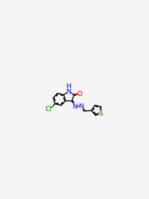 O=C1Nc2ccc(Cl)cc2C1=NN=Cc1ccsc1